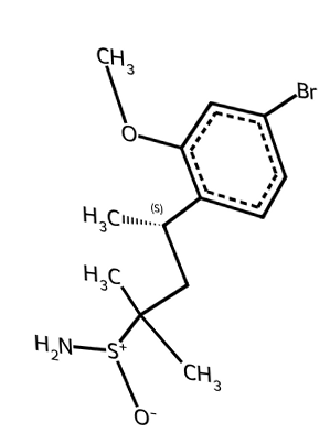 COc1cc(Br)ccc1[C@@H](C)CC(C)(C)[S+](N)[O-]